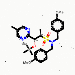 COc1ccc(CN(Cc2ccc(OC)cc2)S(=O)(=O)[C@H](C)[C@H](O[Si](C)(C)C(C)(C)C)c2ncc(C)cn2)cc1